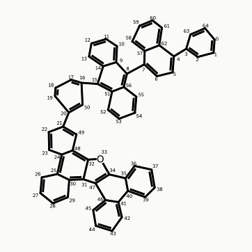 c1ccc(-c2ccc(-c3c4ccccc4c(-c4cccc(-c5ccc6c7ccccc7c7c(oc8c9ccccc9c9ccccc9c87)c6c5)c4)c4ccccc34)c3ccccc23)cc1